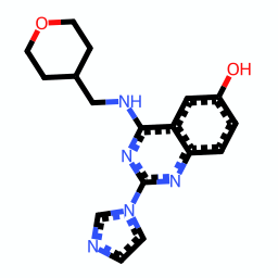 Oc1ccc2nc(-n3ccnc3)nc(NCC3CCOCC3)c2c1